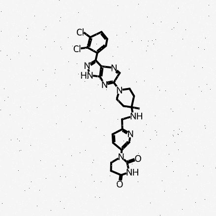 CC1(NCc2ccc(N3CCC(=O)NC3=O)cn2)CCN(c2cnc3c(-c4cccc(Cl)c4Cl)n[nH]c3n2)CC1